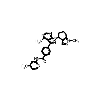 Cn1ncc2c1CCCC2n1nc(-c2ccc(C(=O)Nc3cc(C(F)(F)F)ccn3)cc2)c2c(N)ncnc21